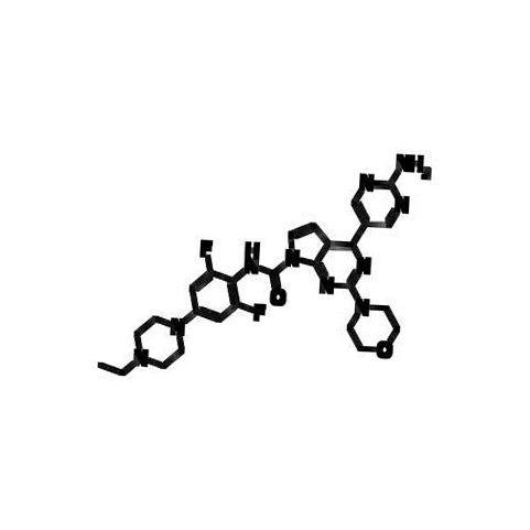 CCN1CCN(c2cc(F)c(NC(=O)n3ccc4c(-c5cnc(N)nc5)nc(N5CCOCC5)nc43)c(F)c2)CC1